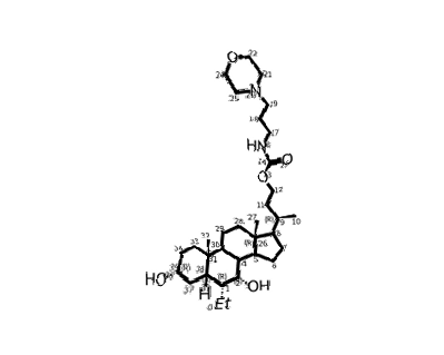 CC[C@H]1[C@@H](O)C2C3CCC([C@H](C)CCOC(=O)NCCCN4CCOCC4)[C@@]3(C)CCC2[C@@]2(C)CC[C@@H](O)C[C@@H]12